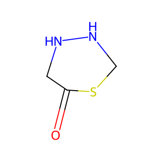 O=C1CNNCS1